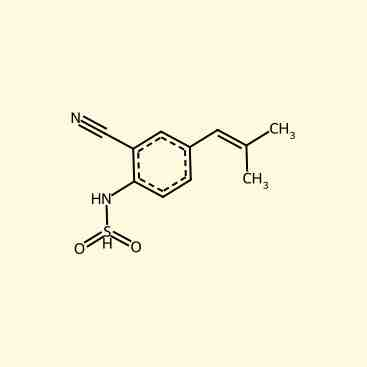 CC(C)=Cc1ccc(N[SH](=O)=O)c(C#N)c1